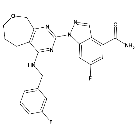 NC(=O)c1cc(F)cc2c1cnn2-c1nc2c(c(NCc3cccc(F)c3)n1)CCCOC2